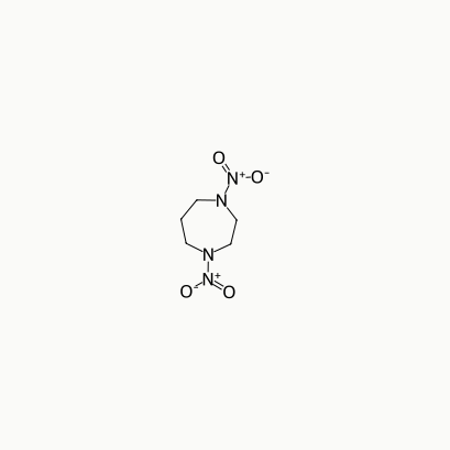 O=[N+]([O-])N1CCCN([N+](=O)[O-])CC1